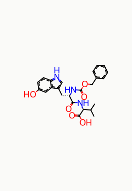 CC(C)[C@H](NC(=O)[C@H](Cc1c[nH]c2ccc(O)cc12)NC(=O)OCc1ccccc1)C(=O)O